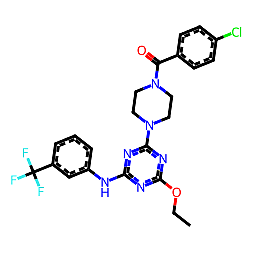 CCOc1nc(Nc2cccc(C(F)(F)F)c2)nc(N2CCN(C(=O)c3ccc(Cl)cc3)CC2)n1